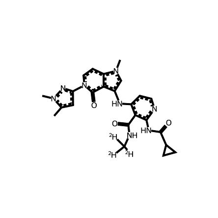 [2H]C([2H])([2H])NC(=O)c1c(Nc2cn(C)c3ccn(-c4cc(C)n(C)n4)c(=O)c23)ccnc1NC(=O)C1CC1